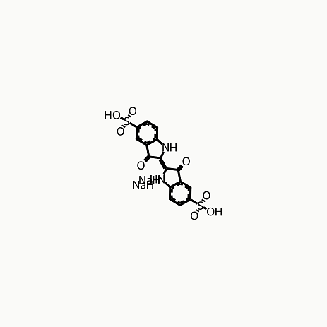 O=C1C(=C2Nc3ccc(S(=O)(=O)O)cc3C2=O)Nc2ccc(S(=O)(=O)O)cc21.[NaH].[NaH]